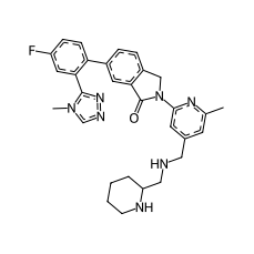 Cc1cc(CNCC2CCCCN2)cc(N2Cc3ccc(-c4ccc(F)cc4-c4nncn4C)cc3C2=O)n1